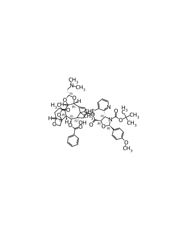 COc1ccc([C@H]2O[C@@H](C(=O)O[C@@H]3C=C4[C@H]5O[C@@H](CN(C)C)O[C@H]5C5CC[C@H]6OC[C@@]6(OC(C)=O)[C@H]5[C@H](OC(=O)c5ccccc5)[C@](O)(C3)C4(C)C)[C@H](c3ncccc3F)N2C(=O)OC(C)(C)C)cc1